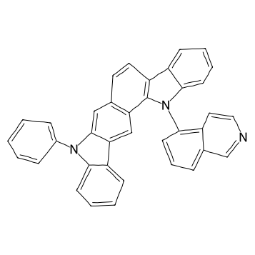 c1ccc(-n2c3ccccc3c3cc4c(ccc5c6ccccc6n(-c6cccc7cnccc67)c45)cc32)cc1